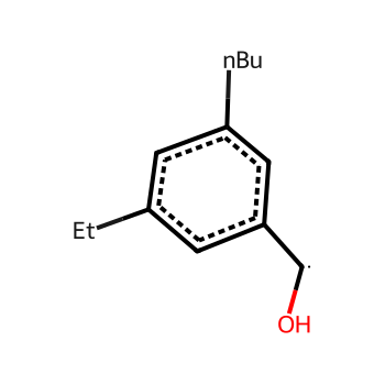 CCCCc1cc([CH]O)cc(CC)c1